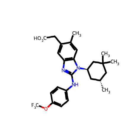 Cc1cc2c(cc1CC(=O)O)nc(Nc1ccc(OC(F)(F)F)cc1)n2[C@@H]1C[C@@H](C)CC(C)(C)C1